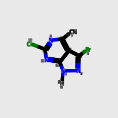 [2H]n1nc(Br)c2c(C#N)nc(Cl)nc21